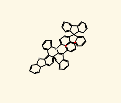 C1=CCC2C(=C1)c1ccccc1C21c2ccccc2-c2cc(N(c3ccccc3-c3cccc4c3OC3C=CC=CC43)c3ccc4ccccc4c3-c3ccccc3)ccc21